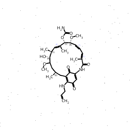 C=CCNC1=C2C[C@@H](C)CC(OC)[C@H](O)[C@@H](C)/C=C(\C)[C@H](OC(N)=O)[C@H](OC)/C=C\C=C(/C)C(=O)NC(=CC1=O)C2=O